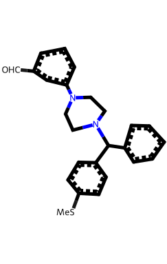 CSc1ccc(C(c2ccccc2)N2CCN(c3cccc(C=O)c3)CC2)cc1